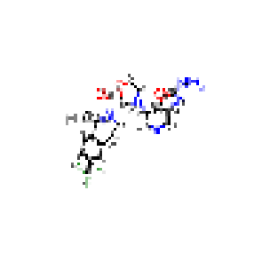 CC1c2ccc(C(F)(F)F)cc2CCN1C(=O)[C@H]1CN(c2cncc3nc(N)oc23)CCO1